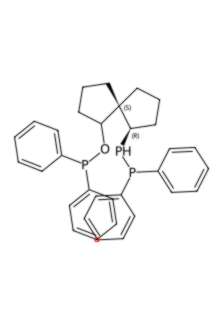 c1ccc(P(OC2CCC[C@]23CCC[C@H]3PP(c2ccccc2)c2ccccc2)c2ccccc2)cc1